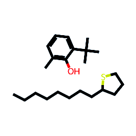 CCCCCCCCC1CCCS1.Cc1cccc(C(C)(C)C)c1O